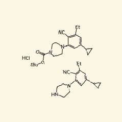 CCc1cc(C2CC2)cc(N2CCN(C(=O)OC(C)(C)C)CC2)c1C#N.CCc1cc(C2CC2)cc(N2CCNCC2)c1C#N.Cl